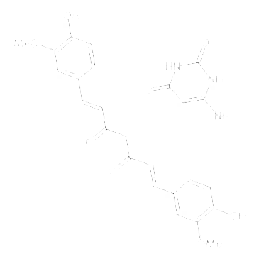 COc1cc(/C=C/C(=O)CC(=O)/C=C/c2ccc(O)c(OC)c2)ccc1O.Nc1cc(=O)[nH]c(=O)[nH]1